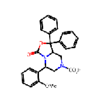 COc1ccccc1C1CN(C(=O)O)CC2N1C(=O)OC2(c1ccccc1)c1ccccc1